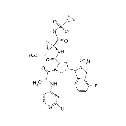 C=C[C@@H]1C[C@]1(NC(=O)[C@@H]1CC(C2c3cccc(F)c3CN2C(=O)O)CN1C(=O)[C@@H](C)Nc1ccnc(Cl)n1)C(=O)NS(=O)(=O)C1CC1